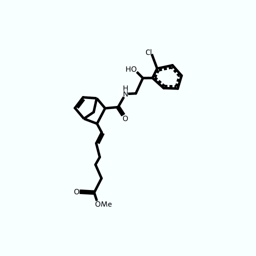 COC(=O)CCCC=CC1C2C=CC(C2)C1C(=O)NCC(O)c1ccccc1Cl